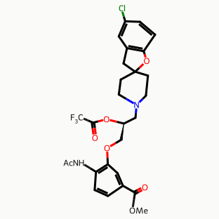 COC(=O)c1ccc(NC(C)=O)c(OC[C@H](CN2CCC3(CC2)Cc2cc(Cl)ccc2O3)OC(=O)C(F)(F)F)c1